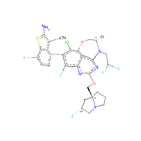 CC[C@H]1COc2c(Cl)c(-c3ccc(F)c4sc(N)c(C#N)c34)c(F)c3nc(OC[C@@]45CCCN4C[C@H](F)C5)nc(c23)N1CC(F)F